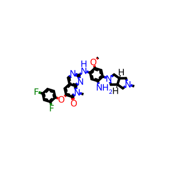 COc1cc(N2C[C@H]3CN(C)C[C@H]3C2)c(N)cc1Nc1ncc2cc(Oc3ccc(F)cc3F)c(=O)n(C)c2n1